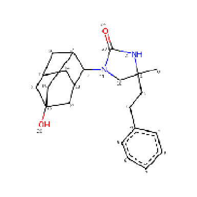 CC1(CCc2ccccc2)CN(C2C3CC4CC2CC(O)(C4)C3)C(=O)N1